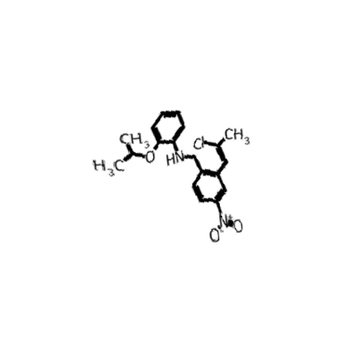 C/C(Cl)=C/c1cc([N+](=O)[O-])ccc1CNc1ccccc1OC(C)C